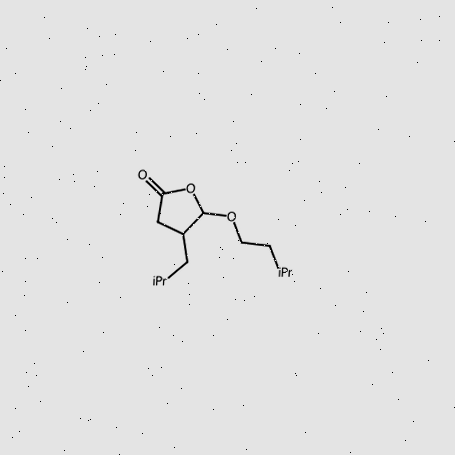 CC(C)CCOC1OC(=O)CC1CC(C)C